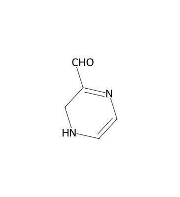 O=CC1=NC=CNC1